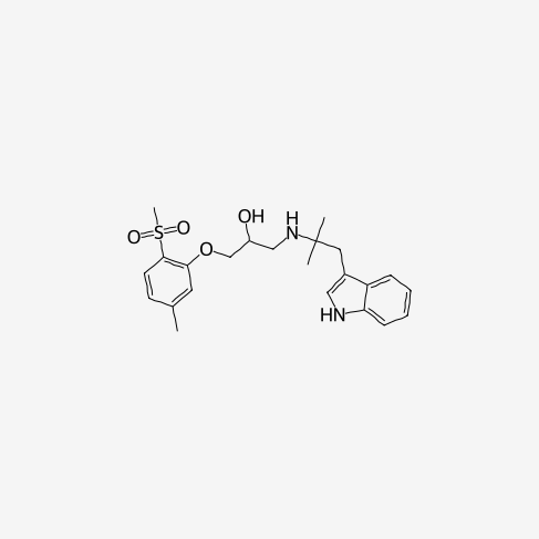 Cc1ccc(S(C)(=O)=O)c(OCC(O)CNC(C)(C)Cc2c[nH]c3ccccc23)c1